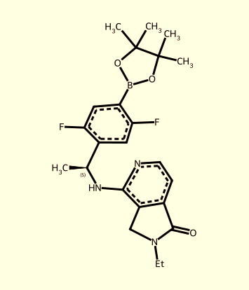 CCN1Cc2c(ccnc2N[C@@H](C)c2cc(F)c(B3OC(C)(C)C(C)(C)O3)cc2F)C1=O